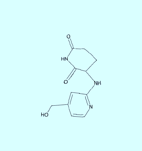 O=C1CCC(Nc2cc(CO)ccn2)C(=O)N1